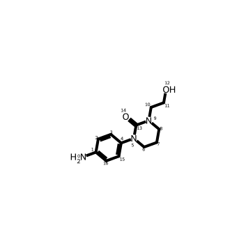 Nc1ccc(N2CCCN(CCO)C2=O)cc1